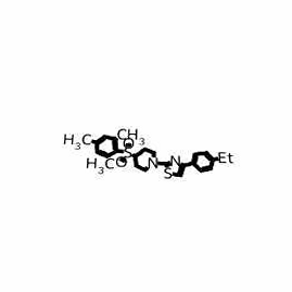 CCc1ccc(-c2csc(N3CCC(S(=O)(=O)c4c(C)cc(C)cc4C)CC3)n2)cc1